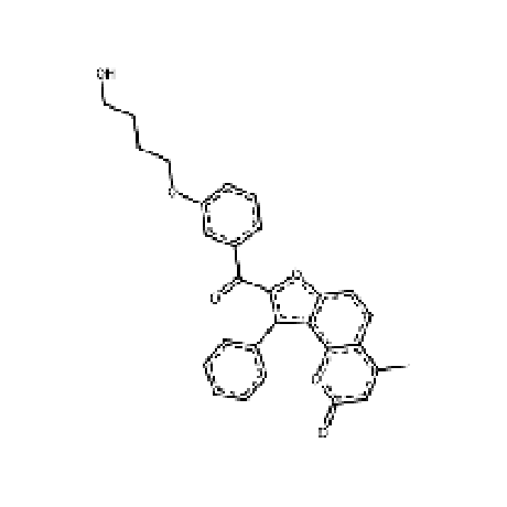 Cc1cc(=O)oc2c1ccc1oc(C(=O)c3cccc(OCCCCO)c3)c(-c3ccccc3)c12